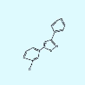 Clc1cccc(-c2cc(-c3ccccc3)ns2)c1